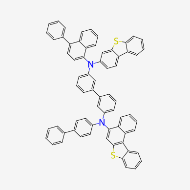 c1ccc(-c2ccc(N(c3cccc(-c4cccc(N(c5ccc6c(c5)sc5ccccc56)c5ccc(-c6ccccc6)c6ccccc56)c4)c3)c3cc4sc5ccccc5c4c4ccccc34)cc2)cc1